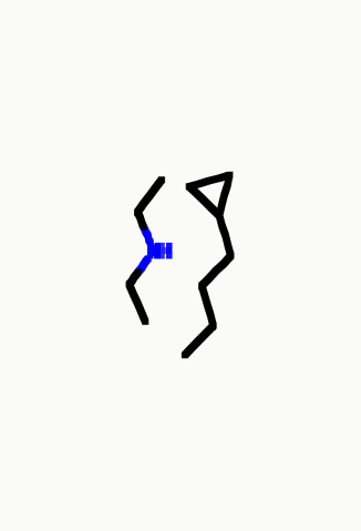 CCCCC1CC1.CCNCC